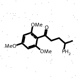 COc1cc(OC)c(C(=O)CCC(C)P)c(OC)c1